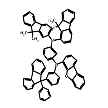 CC1(C)c2ccccc2-c2ccc(N(c3cccc(N(c4cccc(C5(c6ccccc6)c6ccccc6-c6ccccc65)c4)c4cccc5c4oc4ccccc45)c3)c3cccc4c3C(C)(C)c3ccccc3-4)cc21